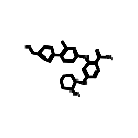 Cc1nc(Nc2cc(N[C@@H]3CCCC[C@@H]3N)cnc2C(N)=O)ccc1-c1ccc(CO)cc1